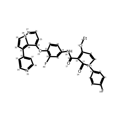 CCOc1ccn(-c2ccc(F)cc2)c(=O)c1C(=O)Nc1ccc(Oc2ccnn3ccc(-c4ccncc4)c23)c(F)c1